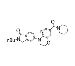 CCCCN1Cc2cc(N3CCOc4cc(C(=O)N5CCCCC5)cnc43)ccc2C1=O